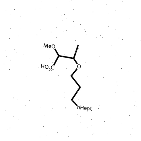 CCCCCCCCCCOC(C)C(OC)C(=O)O